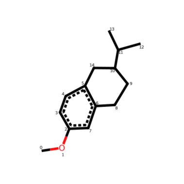 COc1ccc2c(c1)CCC(C(C)C)C2